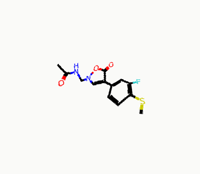 CSc1ccc(-c2cn(CNC(C)=O)oc2=O)cc1F